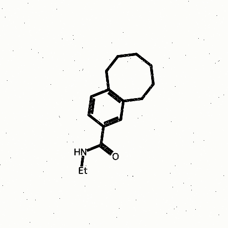 CCNC(=O)c1ccc2c(c1)CCCCCC2